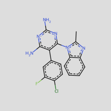 Cc1nc2ccccc2n1-c1nc(N)nc(N)c1-c1ccc(Cl)c(F)c1